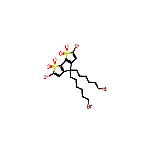 O=S1(=O)C(Br)=CC2=C1C1=C(C=C(Br)S1(=O)=O)C2(CCCCCCBr)CCCCCCBr